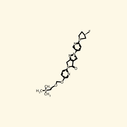 CS(C)(C)CCOCOc1ccc(N2Cc3nn(-c4ccc(N5CC[C@@H](F)C5)nc4)cc3C2=O)nc1